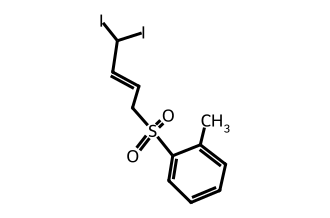 Cc1ccccc1S(=O)(=O)CC=CC(I)I